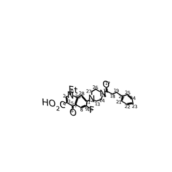 CCn1cc(C(=O)O)c(=O)c2cc(F)c(N3CCN(C(=O)CCc4ccccc4)CC3)cc21